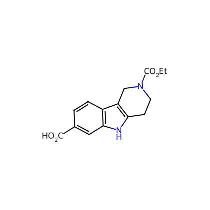 CCOC(=O)N1CCc2[nH]c3cc(C(=O)O)ccc3c2C1